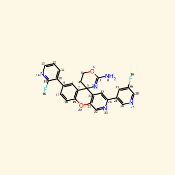 NC1=NC2(CCO1)c1cc(-c3cccnc3F)ccc1Oc1cnc(-c3cncc(F)c3)cc12